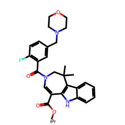 CC(C)OC(=O)C1=CN(C(=O)c2cc(CN3CCOCC3)ccc2F)CC(C)(C)c2c1[nH]c1ccccc21